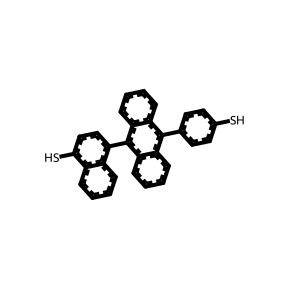 Sc1ccc(-c2c3ccccc3c(-c3ccc(S)c4ccccc34)c3ccccc23)cc1